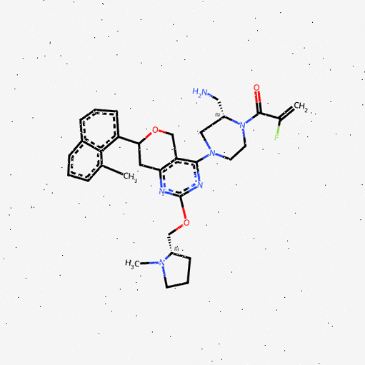 C=C(F)C(=O)N1CCN(c2nc(OC[C@@H]3CCCN3C)nc3c2COC(c2cccc4cccc(C)c24)C3)C[C@@H]1CN